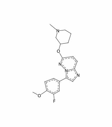 COc1ccc(-c2cnc3ccc(OC4CCCN(C)C4)nn23)cc1F